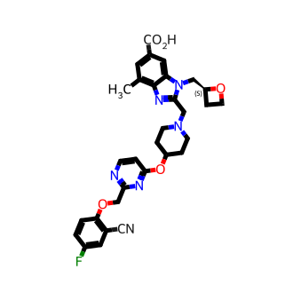 Cc1cc(C(=O)O)cc2c1nc(CN1CCC(Oc3ccnc(COc4ccc(F)cc4C#N)n3)CC1)n2C[C@@H]1CCO1